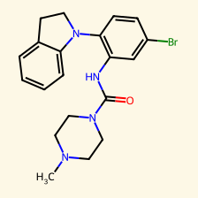 CN1CCN(C(=O)Nc2cc(Br)ccc2N2CCc3ccccc32)CC1